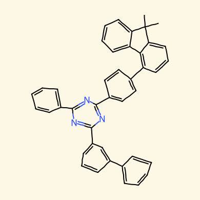 CC1(C)c2ccccc2-c2c(-c3ccc(-c4nc(-c5ccccc5)nc(-c5cccc(-c6ccccc6)c5)n4)cc3)cccc21